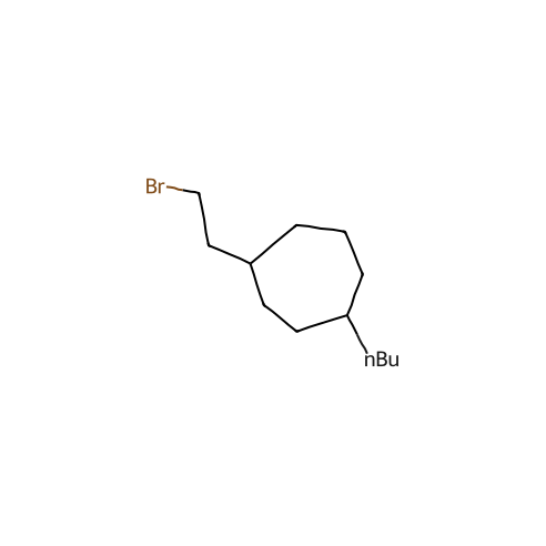 CCCCC1CCCC(CCBr)CC1